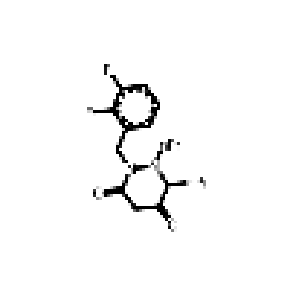 CCCC1C(=O)CC(=O)N(Cc2cccc(F)c2F)N1CCC